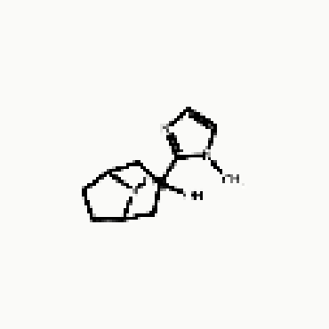 CN1C2CCC1CC(O)(c1nccn1C)C2